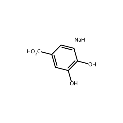 O=C(O)c1ccc(O)c(O)c1.[NaH]